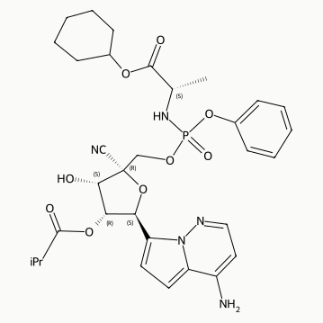 CC(C)C(=O)O[C@H]1[C@H](c2ccc3c(N)ccnn23)O[C@](C#N)(COP(=O)(N[C@@H](C)C(=O)OC2CCCCC2)Oc2ccccc2)[C@H]1O